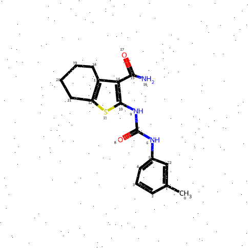 Cc1cccc(NC(=O)Nc2sc3c(c2C(N)=O)CCCC3)c1